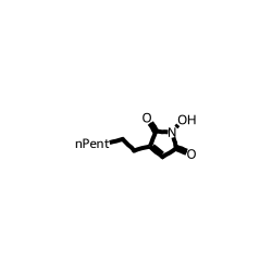 CCCCCCCC1=CC(=O)N(O)C1=O